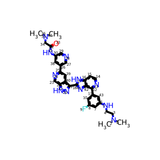 CN(C)CCNc1cc(F)cc(-c2nccc3[nH]c(-c4n[nH]c5cnc(-c6cncc(NC(=O)CN(C)C)c6)cc45)nc23)c1